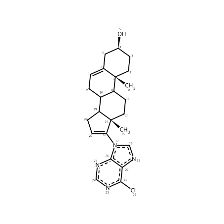 C[C@]12CC[C@H](O)CC1=CCC1C2CC[C@]2(C)C(n3cnc4c(Cl)ncnc43)=CCC12